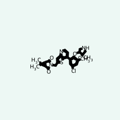 Cc1cc(Cl)cc(-c2ccnc3cc(CN4C(=O)C5C(C4=O)C5(C)C)sc23)c1OC1CNCC1(C)C